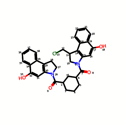 O=C(C1CCCC(C(=O)N2CC(CCl)c3c2cc(O)c2ccccc32)C1)N1CCc2c1cc(O)c1ccccc21